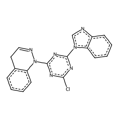 Clc1nc(N2N=CCc3ccccc32)nc(-n2cnc3ccccc32)n1